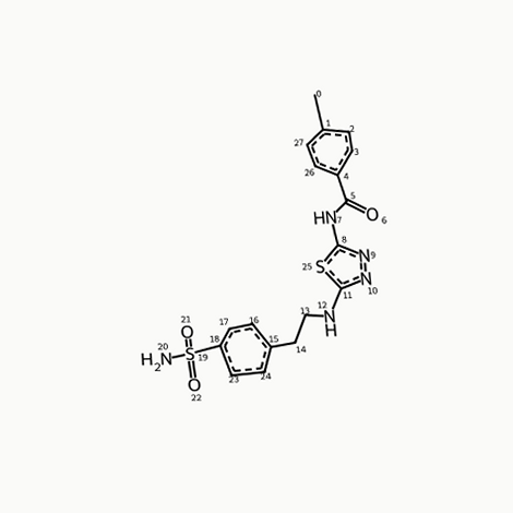 Cc1ccc(C(=O)Nc2nnc(NCCc3ccc(S(N)(=O)=O)cc3)s2)cc1